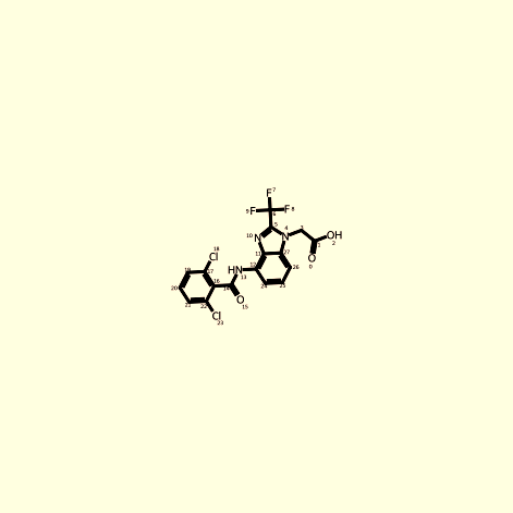 O=C(O)Cn1c(C(F)(F)F)nc2c(NC(=O)c3c(Cl)cccc3Cl)cccc21